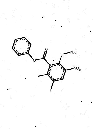 CCCCOc1c([N+](=O)[O-])cc(F)c(C)c1C(=O)Oc1ccccc1